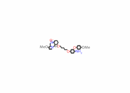 COc1ccc(Oc2cc(OCCCCCOC3CCC=C4[C@@H]3Cn3ccc(OC)c3C=[N+]4[O-])ccc2N)cc1